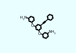 Nc1cccc(Oc2cc(C#Cc3ccccc3)cc(Oc3cccc(N)c3)c2)c1